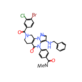 CNC(=O)c1ccc(-n2c(=O)c3c(n4ncc(NCc5ccccc5)c24)CN(C(=O)c2ccc(Br)c(Cl)c2)CC3)cc1